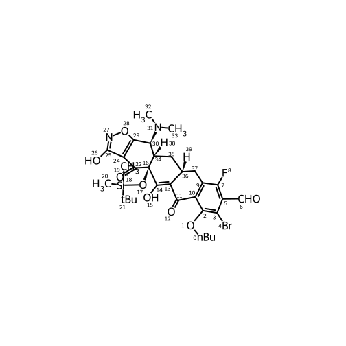 CCCCOc1c(Br)c(C=O)c(F)c2c1C(=O)C1=C(O)[C@]3(O[Si](C)(C)C(C)(C)C)C(=O)c4c(O)noc4[C@@H](N(C)C)[C@@H]3C[C@@H]1C2